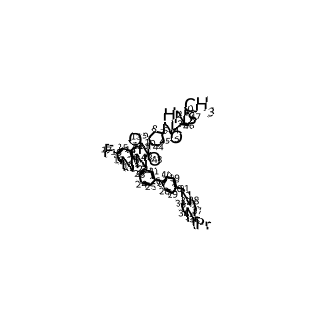 Cc1nc(C(=O)NC2CCC(n3c(=O)c4cc(F)cnc4n(-c4cccc(-c5ccc(CN6CCN(C(C)C)CC6)cc5)c4)c3=O)CC2)cs1